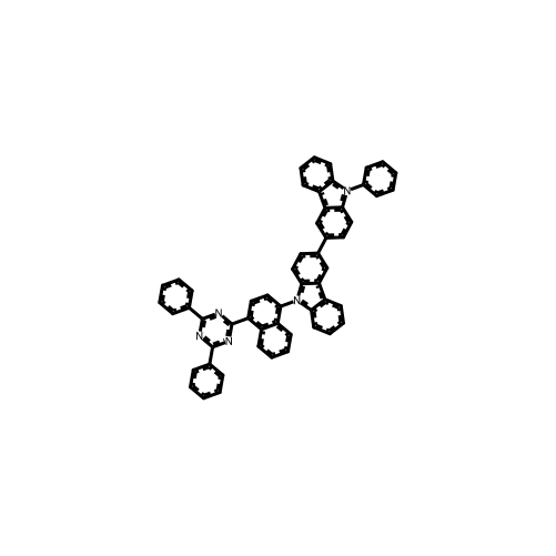 c1ccc(-c2nc(-c3ccccc3)nc(-c3ccc(-n4c5ccccc5c5cc(-c6ccc7c(c6)c6ccccc6n7-c6ccccc6)ccc54)c4ccccc34)n2)cc1